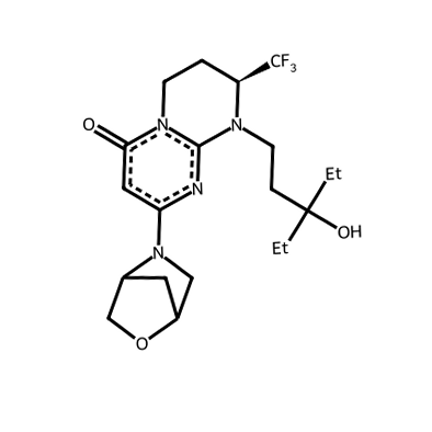 CCC(O)(CC)CCN1c2nc(N3CC4CC3CO4)cc(=O)n2CC[C@H]1C(F)(F)F